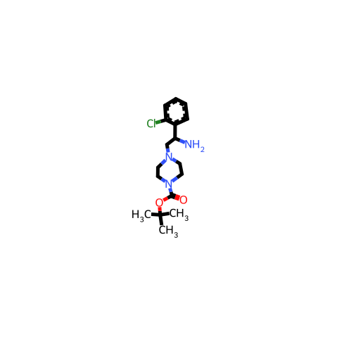 CC(C)(C)OC(=O)N1CCN(CC(N)c2ccccc2Cl)CC1